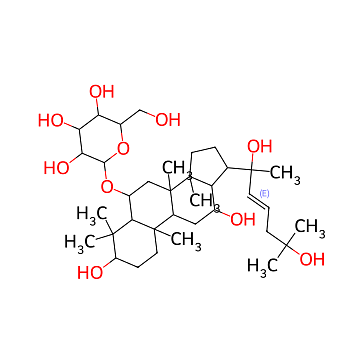 CC(C)(O)C/C=C/C(C)(O)C1CCC2(C)C1C(O)CC1C3(C)CCC(O)C(C)(C)C3C(OC3OC(CO)C(O)C(O)C3O)CC12C